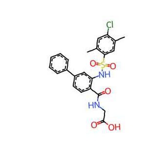 Cc1cc(S(=O)(=O)Nc2cc(-c3ccccc3)ccc2C(=O)NCC(=O)O)c(C)cc1Cl